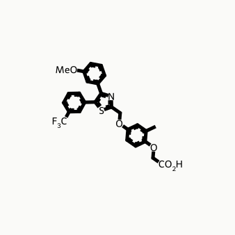 COc1cccc(-c2nc(COc3ccc(OCC(=O)O)c(C)c3)sc2-c2cccc(C(F)(F)F)c2)c1